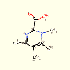 CC1=NC(C(=O)O)N(C)C(C)=C1C